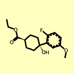 CCOC(=O)[C@H]1CC[C@@](O)(c2cc(OC)ccc2F)CC1